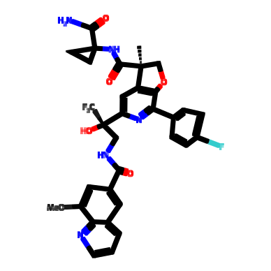 COc1cc(C(=O)NC[C@](O)(c2cc3c(c(-c4ccc(F)cc4)n2)OC[C@]3(C)C(=O)NC2(C(N)=O)CC2)C(F)(F)F)cc2cccnc12